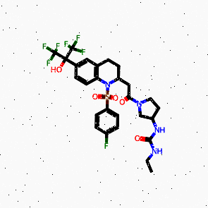 CCNC(=O)NC1CCN(C(=O)CC2CCc3cc(C(O)(C(F)(F)F)C(F)(F)F)ccc3N2S(=O)(=O)c2ccc(F)cc2)C1